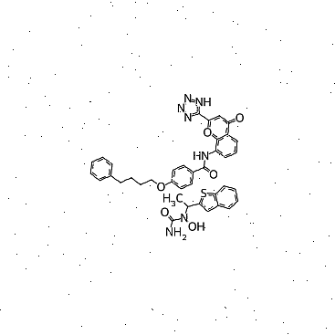 CC(c1cc2ccccc2s1)N(O)C(N)=O.O=C(Nc1cccc2c(=O)cc(-c3nnn[nH]3)oc12)c1ccc(OCCCCc2ccccc2)cc1